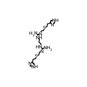 NC(=NCCSCCc1c[nH]cn1)NCCCNC(N)=NCCSCCc1c[nH]cn1